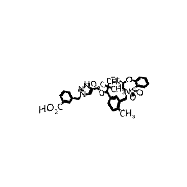 CC[C@@H]1CN(Cc2cc(C(OCc3cn(Cc4cccc(C(=O)O)c4)nn3)C(C)(C)C(=O)O)ccc2C)S(=O)(=O)c2ccccc2O1